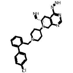 N=C[C@@H]1Cc2c(ncnc2N=N)CN1C1CCN(Cc2ccccc2-c2ccc(Cl)cc2)CC1